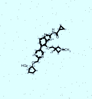 CN1CC(F)(COc2c(-c3cnc(CO[C@H]4CCC[C@@H]4O)nc3)ccc3nc(NC(=O)C4CC4)sc23)C1